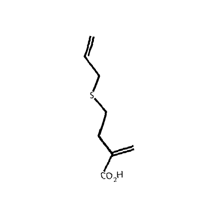 C=CCSCCC(=C)C(=O)O